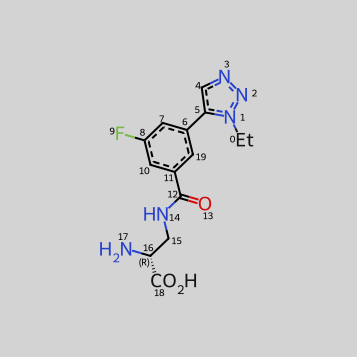 CCn1nncc1-c1cc(F)cc(C(=O)NC[C@@H](N)C(=O)O)c1